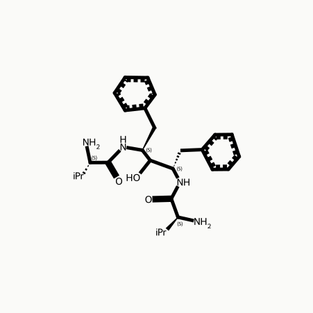 CC(C)[C@H](N)C(=O)N[C@@H](Cc1ccccc1)C(O)[C@H](Cc1ccccc1)NC(=O)[C@@H](N)C(C)C